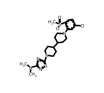 CN(C)c1nsc(N2CCC(C3CCN(c4cc(Cl)ccc4S(C)(=O)=O)CC3)CC2)n1